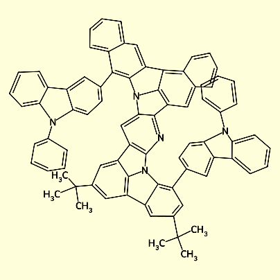 CC(C)(C)c1cc(-c2ccc3c(c2)c2ccccc2n3-c2ccccc2)c2c(c1)c1cc(C(C)(C)C)cc3c4cc5c(nc4n2c31)c1cc2ccccc2c2c3cc4ccccc4c(-c4ccc6c(c4)c4ccccc4n6-c4ccccc4)c3n5c12